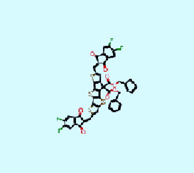 O=C1C(=Cc2cc3c(s2)-c2sc4c(sc5cc(C=C6C(=O)c7cc(F)c(F)cc7C6=O)sc54)c2C3(C(=O)OCc2ccccc2)C(=O)OCc2ccccc2)C(=O)c2cc(F)c(F)cc21